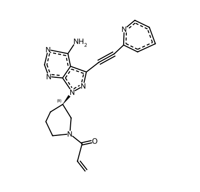 C=CC(=O)N1CCC[C@@H](n2nc(C#Cc3ccccn3)c3c(N)ncnc32)C1